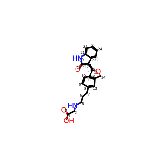 O=C(O)CNCCCc1ccc2c(c1)CO/C2=C1/C(=O)Nc2ccccc21